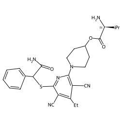 CCc1c(C#N)c(SC(C(N)=O)c2ccccc2)nc(N2CCC(OC(=O)[C@@H](N)C(C)C)CC2)c1C#N